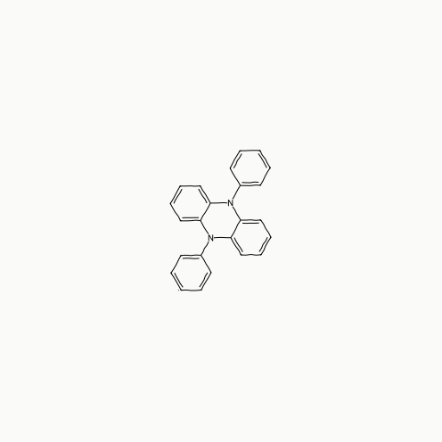 [c]1ccc(N2c3ccccc3N(c3ccccc3)c3ccccc32)cc1